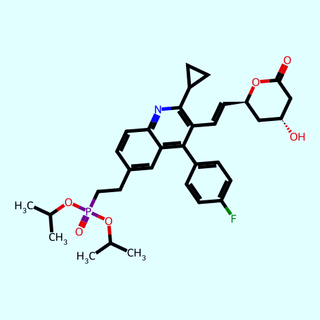 CC(C)OP(=O)(CCc1ccc2nc(C3CC3)c(/C=C/[C@@H]3C[C@@H](O)CC(=O)O3)c(-c3ccc(F)cc3)c2c1)OC(C)C